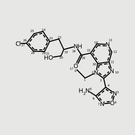 CCn1c(-c2nonc2N)nc2cncc(C(=O)NC(CO)Cc3ccc(Cl)cc3)c21